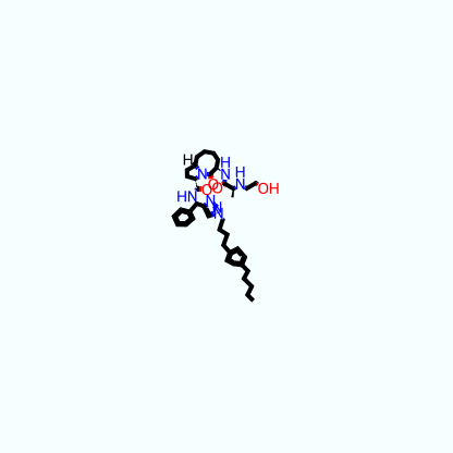 CCCCCc1ccc(CCCCn2cc([C@@H](NC(=O)[C@@H]3CC[C@@H]4CCCC[C@H](NC(=O)[C@H](C)NCCO)C(=O)N43)c3ccccc3)nn2)cc1